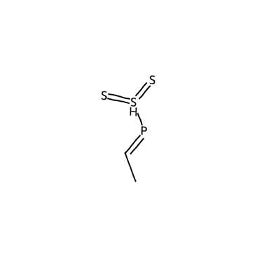 CC=P[SH](=S)=S